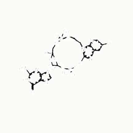 Nc1nc2c(ncn2[C@@H]2O[C@@H]3COP(=O)(S)OCCn4c(nc5cc(Cl)cnc54)COP(=O)(S)O[C@@H]2C3)c(=O)[nH]1